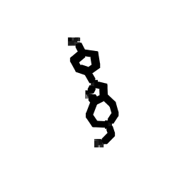 CC(C)CN1CCc2cn(-c3ccc(C#N)cc3)nc2CC1